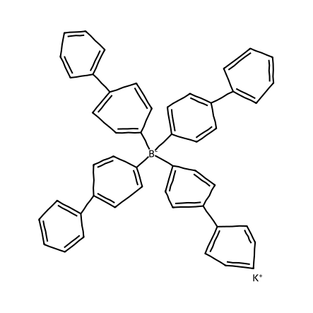 [K+].c1ccc(-c2ccc([B-](c3ccc(-c4ccccc4)cc3)(c3ccc(-c4ccccc4)cc3)c3ccc(-c4ccccc4)cc3)cc2)cc1